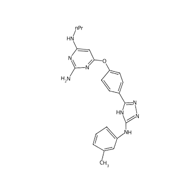 CCCNc1cc(Oc2ccc(-c3nnc(Nc4cccc(C)c4)[nH]3)cc2)nc(N)n1